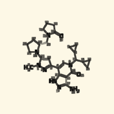 Cn1nc(-c2cn(C(C3CC3)C3CC3)c(=O)c3c(N)n[nH]c23)cc1N1CCC[C@@H]1CN1CCCC1=O